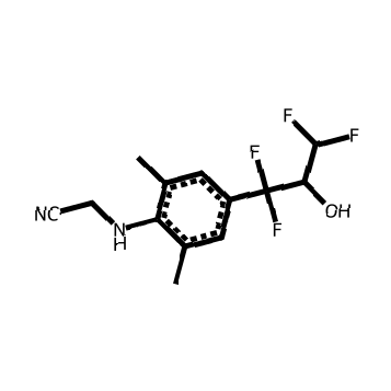 Cc1cc(C(F)(F)C(O)C(F)F)cc(C)c1NCC#N